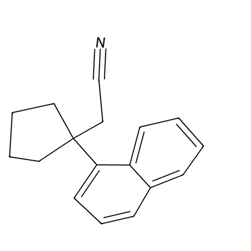 N#CCC1(c2cccc3ccccc23)CCCC1